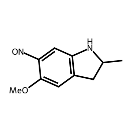 COc1cc2c(cc1N=O)NC(C)C2